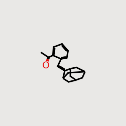 CC(=O)c1ccccc1C=C1C2CC3CC(C2)CC1C3